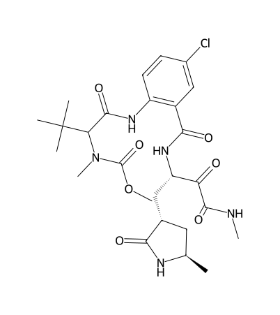 CNC(=O)C(=O)[C@H](C[C@@H]1C[C@@H](C)NC1=O)NC(=O)c1cc(Cl)ccc1NC(=O)C(N(C)C(=O)OC)C(C)(C)C